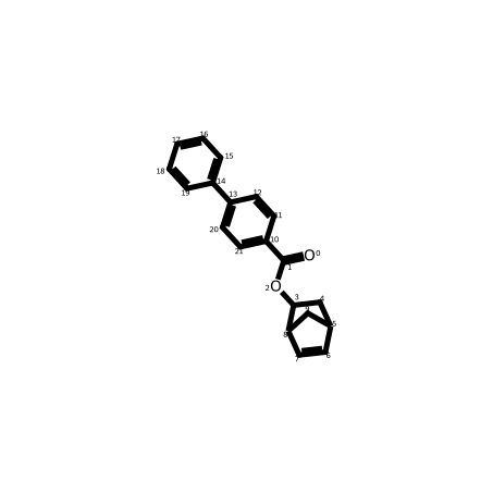 O=C(OC1CC2C=CC1C2)c1ccc(-c2ccccc2)cc1